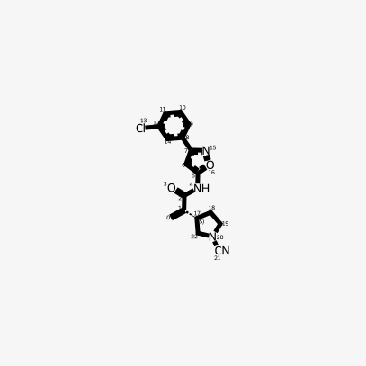 C=C(C(=O)Nc1cc(-c2cccc(Cl)c2)no1)[C@@H]1CCN(C#N)C1